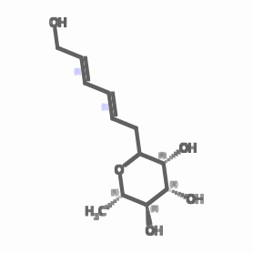 C[C@@H]1OC(C/C=C/C=C/CO)[C@H](O)[C@H](O)[C@H]1O